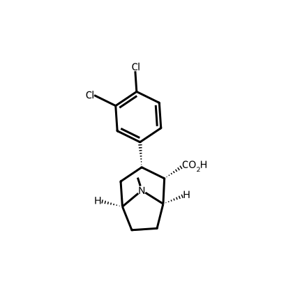 CN1[C@H]2CC[C@@H]1[C@@H](C(=O)O)[C@@H](c1ccc(Cl)c(Cl)c1)C2